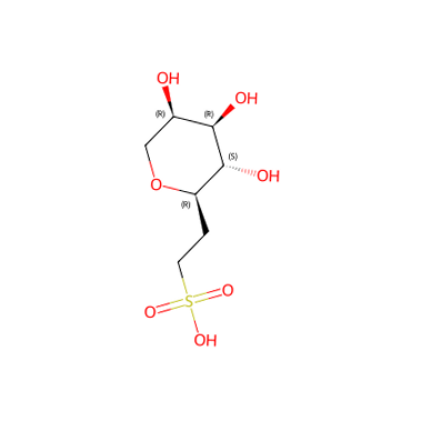 O=S(=O)(O)CC[C@H]1OC[C@@H](O)[C@@H](O)[C@@H]1O